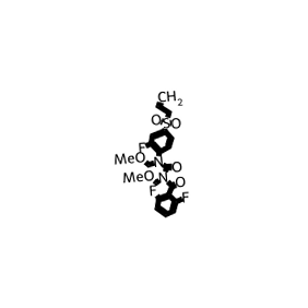 C=CCS(=O)(=O)c1ccc(N(COC)C(=O)N(COC)C(=O)c2c(F)cccc2F)c(F)c1